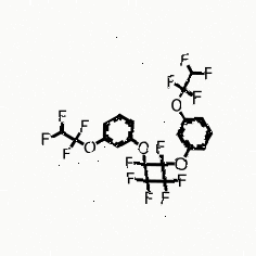 FC(F)C(F)(F)Oc1cccc(OC2(F)C(F)(F)C(F)(F)C2(F)Oc2cccc(OC(F)(F)C(F)F)c2)c1